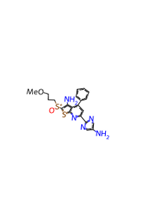 COCCC[S+]([O-])c1sc2nc(-c3ncc(N)cn3)cc(-c3ccccc3)c2c1N